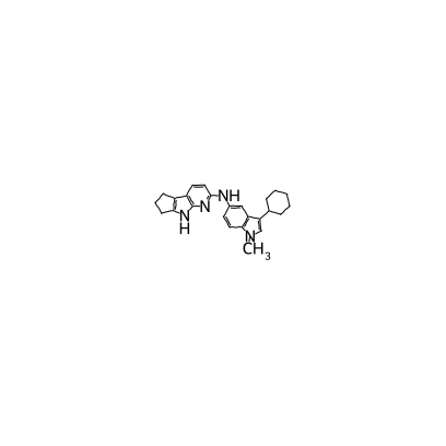 Cn1cc(C2CCCCC2)c2cc(Nc3ccc4c5c([nH]c4n3)CCC5)ccc21